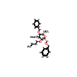 CCS[C@@H]1O[C@H](COCc2ccccc2)[C@@H](OCCCC(C)=O)[C@H](OC)[C@H]1OCc1ccccc1